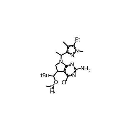 CCc1c(C)c(C(C)N2CC(C(O[SiH](C)C)C(C)(C)C)c3c(Cl)nc(N)nc32)nn1C